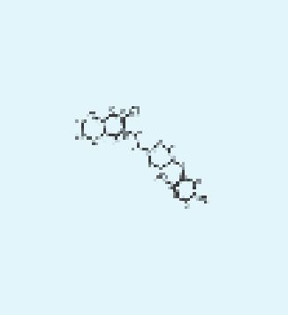 Clc1ccc(Cl)c(CC2CCN(CCc3cc4c(cc3Cl)OCCO4)CC2)c1